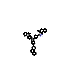 C=CC1(C)CC=c2ccccc2=C1/C=C\Cc1ccc(N(c2ccc(-c3ccc4c(ccc5ccccc54)c3)cc2)c2ccc3c(c2)C(C)(C)c2ccccc2-3)cc1